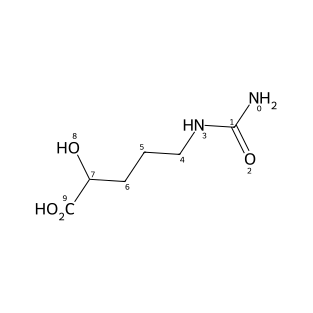 NC(=O)NCCCC(O)C(=O)O